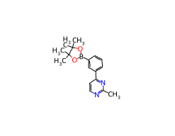 Cc1nccc(-c2cccc(B3OC(C)(C)C(C)(C)O3)c2)n1